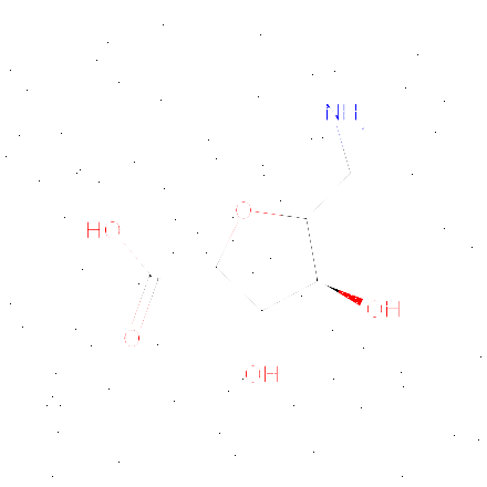 NCC1O[C@@H](C(=O)O)[C@@H](O)[C@@H]1O